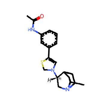 CC(=O)Nc1cccc(C2=CN([C@H]3CN4CCC3CC4C)CS2)c1